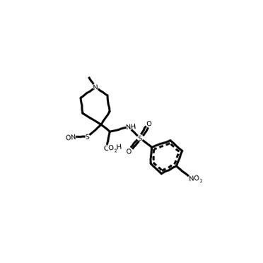 CN1CCC(SN=O)(C(NS(=O)(=O)c2ccc([N+](=O)[O-])cc2)C(=O)O)CC1